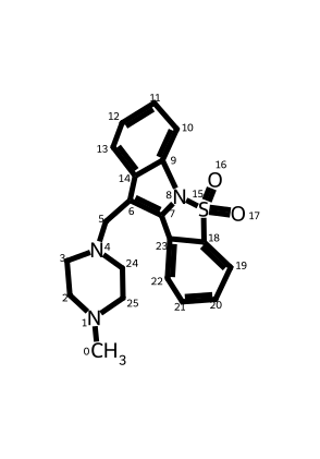 CN1CCN(Cc2c3n(c4ccccc24)S(=O)(=O)c2ccccc2-3)CC1